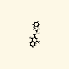 O=C1C=C(CNc2nc3ccccc3o2)C(=O)c2ccccc21